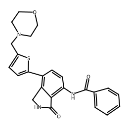 O=C(Nc1ccc(-c2ccc(CN3CCOCC3)s2)c2c1C(=O)NC2)c1ccccc1